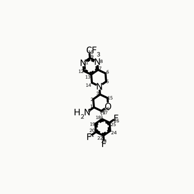 NC1CC(N2CCc3nc(C(F)(F)F)ncc3C2)CO[C@@H]1c1cc(F)c(F)cc1F